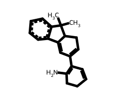 CC1(C)c2ccccc2C2=CC(C3=C(N)CCC=C3)=CCC21